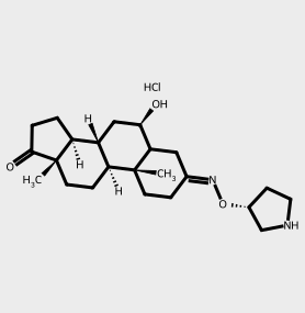 C[C@]12CCC(=NO[C@@H]3CCNC3)CC1[C@H](O)C[C@@H]1[C@@H]2CC[C@]2(C)C(=O)CC[C@@H]12.Cl